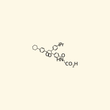 CC(C)c1ccc(C(CC(=O)c2ccc(C3CCCCC3)cc2)C(=O)c2ccc(C(=O)NCCC(=O)O)cc2)cc1